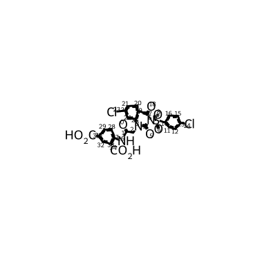 O=C(Cn1c(=O)n(S(=O)(=O)c2ccc(Cl)cc2)c(=O)c2ccc(Cl)cc21)Nc1ccc(C(=O)O)cc1C(=O)O